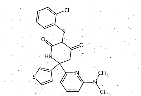 CN(C)c1cccc(C2(c3ccsc3)CC(=O)C(Sc3ccccc3Cl)C(=O)N2)n1